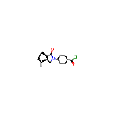 Cc1cccc2c1CN(C1CCC(C(=O)Cl)CC1)C2=O